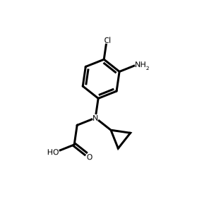 Nc1cc(N(CC(=O)O)C2CC2)ccc1Cl